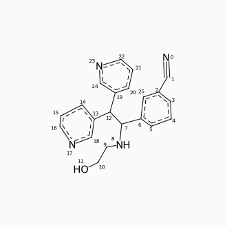 N#Cc1cccc(C(NCCO)C(c2cccnc2)c2cccnc2)c1